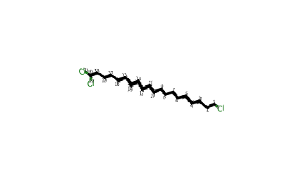 ClCCCCCCCCCCCCCCCCCCCC(Cl)Cl